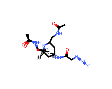 CC(=O)NCC1C[C@]2(NC(=O)CN=[N+]=[N-])C[C@@H](CNC(C)=O)N1[C@@H](CNC(C)=O)C2